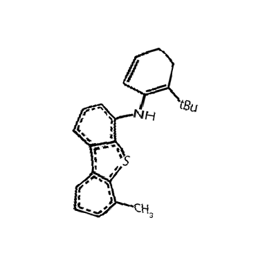 Cc1cccc2c1sc1c(NC3=C(C(C)(C)C)CCC=C3)cccc12